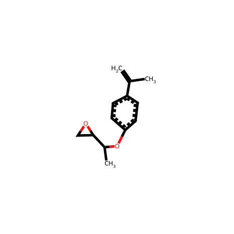 C=C(C)c1ccc(OC(C)C2CO2)cc1